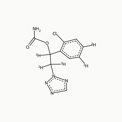 [2H]c1cc(Cl)c(C([2H])(OC(N)=O)C([2H])([2H])n2ncnn2)cc1[2H]